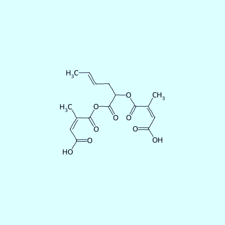 CC=CCC(OC(=O)/C(C)=C\C(=O)O)C(=O)OC(=O)/C(C)=C\C(=O)O